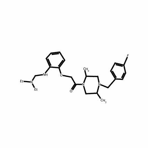 CCN(CC)CNc1ccccc1OCC(=O)N1CC(C)N(Cc2ccc(F)cc2)CC1C